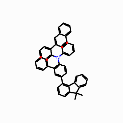 CC1(C)c2ccccc2-c2c(-c3ccc(N(c4ccccc4)c4ccccc4-c4ccc5ccccc5c4)c(-c4ccccc4)c3)cccc21